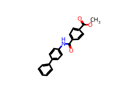 COC(=O)c1ccc(C(=O)Nc2ccc(-c3ccccc3)cc2)cc1